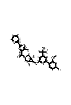 COc1cc(F)ccc1-c1cc(C(C)(C)N)cc(OC2[C@H]3CN(C(=O)c4sc(-c5ncccn5)nc4C)C[C@@H]23)n1